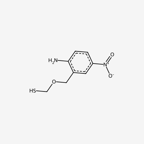 Nc1ccc([N+](=O)[O-])cc1COCS